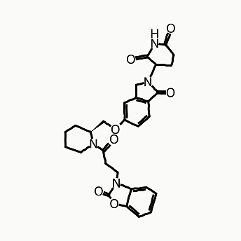 O=C1CCC(N2Cc3cc(OC[C@@H]4CCCCN4C(=O)CCn4c(=O)oc5ccccc54)ccc3C2=O)C(=O)N1